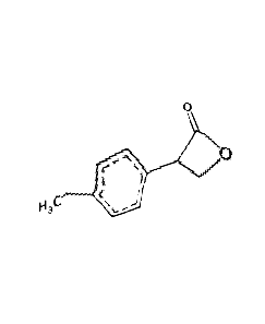 Cc1ccc(C2COC2=O)cc1